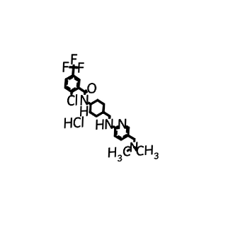 CN(C)Cc1ccc(NCC2CCC(NC(=O)c3cc(C(F)(F)F)ccc3Cl)CC2)nc1.Cl